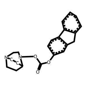 O=C(Oc1ccc2c(c1)Cc1ccccc1-2)ON1CCN2CCC1CC2